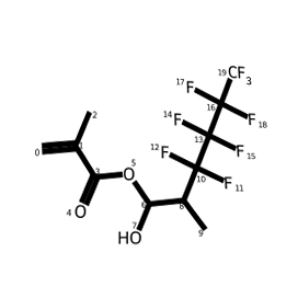 C=C(C)C(=O)OC(O)C(C)C(F)(F)C(F)(F)C(F)(F)C(F)(F)F